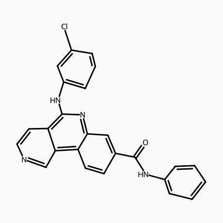 O=C(Nc1ccccc1)c1ccc2c(c1)nc(Nc1cccc(Cl)c1)c1ccncc12